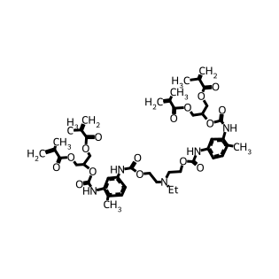 C=C(C)C(=O)OCC(COC(=O)C(=C)C)OC(=O)Nc1cc(NC(=O)OCCN(CC)CCOC(=O)Nc2ccc(C)c(NC(=O)OC(COC(=O)C(=C)C)COC(=O)C(=C)C)c2)ccc1C